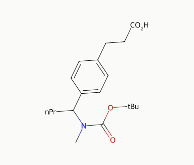 CCCC(c1ccc(CCC(=O)O)cc1)N(C)C(=O)OC(C)(C)C